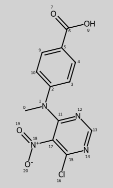 CN(c1ccc(C(=O)O)cc1)c1ncnc(Cl)c1[N+](=O)[O-]